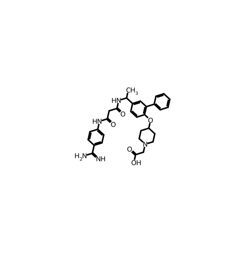 CC(NC(=O)CC(=O)Nc1ccc(C(=N)N)cc1)c1ccc(OC2CCN(CC(=O)O)CC2)c(-c2ccccc2)c1